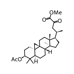 COC(=O)C(=O)C[C@@H](C)[C@H]1CC[C@@]2(C)[C@@H]3CC[C@H]4C(C)(C)[C@@H](OC(C)=O)CC[C@@]45C[C@@]35CC[C@]12C